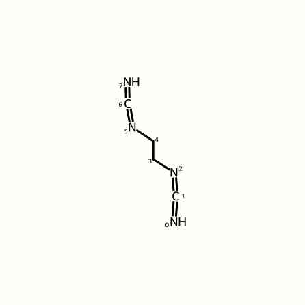 N=C=NCCN=C=N